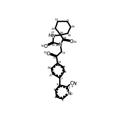 N#Cc1ncccc1-c1ccc(C(=O)CN2C(=O)NC3(CCCCC3)C2=O)cc1